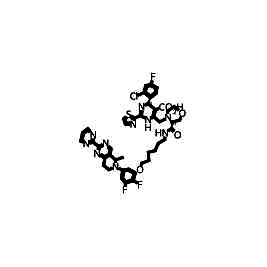 CC1c2cnc(-c3ncccn3)nc2CCN1c1cc(F)c(F)c(OCCCCCCNC(=O)[C@@H]2COCCN2CC2=C(C(=O)O)[C@H](c3ccc(F)cc3Cl)N=C(c3nccs3)N2)c1